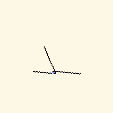 CCCCCCCCCCCCCCCCCCCc1cc[n+](CCCCCCCCCCCCCCC)cc1CCCCCCCCCCCCCCCCCCC